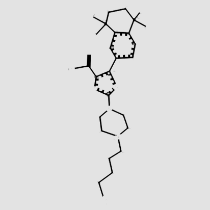 CCCC(=O)c1sc(N2CCN(CCCCO)CC2)nc1-c1ccc2c(c1)C(C)(C)CCC2(C)C